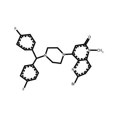 Cn1c(=O)cc(N2CCN(C(c3ccc(F)cc3)c3ccc(F)cc3)CC2)c2nc(Br)ccc21